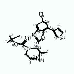 CC1NCCN(C(=O)OC(C)(C)C)[C@@H]1c1nc2cc(Cl)cc(-c3ccsc3)c2o1